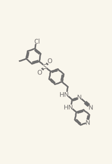 Cc1cc(Cl)cc(S(=O)(=O)c2ccc(CNC(=NC#N)Nc3ccncc3)cc2)c1